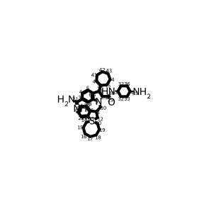 N=C(N)c1ccc2c(c1)N(CC1CS3(CCCCCCC3)c3ccccc31)C(C(=O)N[C@H]1CC[C@H](N)CC1)C2C1CCCCCC1